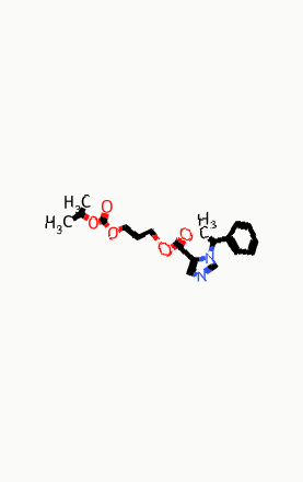 CC(C)OC(=O)OCCCOC(=O)c1cncn1C(C)c1ccccc1